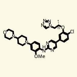 COc1cc(N2CCC(N3CCOCC3)CC2)ccc1Nc1ncc(-c2ccc(Cl)c(O[C@@H](C)Cn3cnnn3)c2)cn1